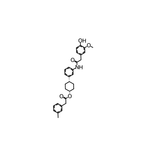 COc1cc(CC(=O)Nc2cccc([C@H]3CC[C@@H](OC(=O)Cc4cccc(C)c4)CC3)c2)ccc1O